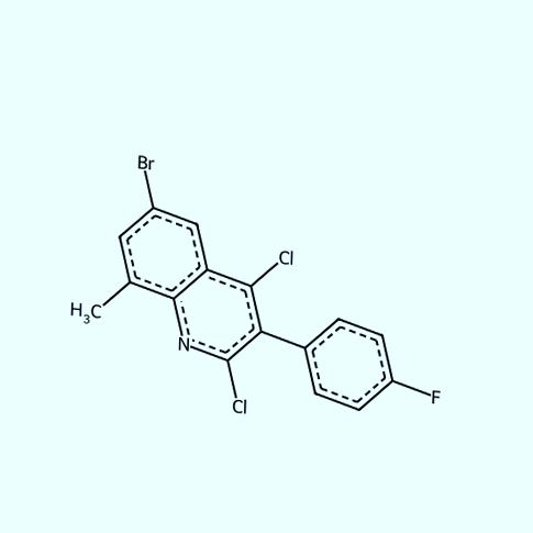 Cc1cc(Br)cc2c(Cl)c(-c3ccc(F)cc3)c(Cl)nc12